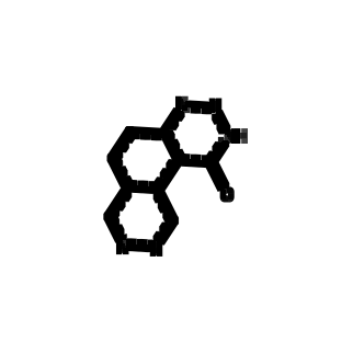 O=c1[nH]nnc2ccc3cnncc3c12